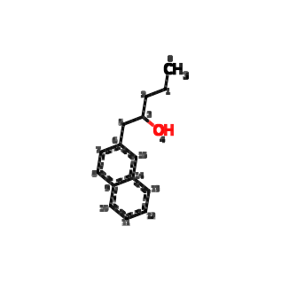 CCCC(O)Cc1ccc2ccccc2c1